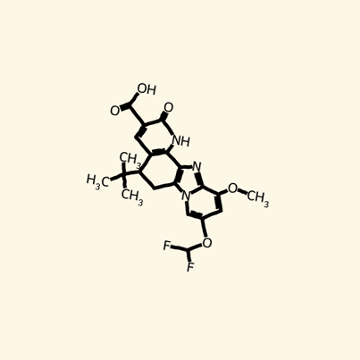 COc1cc(OC(F)F)cn2c3c(nc12)-c1[nH]c(=O)c(C(=O)O)cc1C(C(C)(C)C)C3